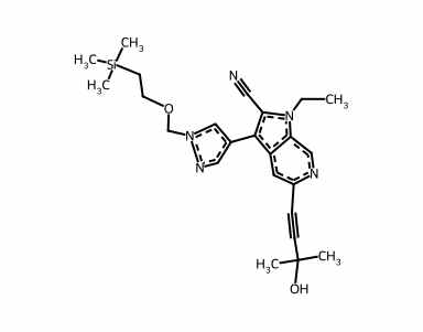 CCn1c(C#N)c(-c2cnn(COCC[Si](C)(C)C)c2)c2cc(C#CC(C)(C)O)ncc21